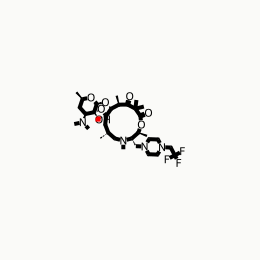 CO[C@]1(C)C[C@@H](C)CN(C)[C@@H](CN2CCN(CC(F)(F)F)CC2)[C@H](C)OC(=O)C(C)(C)C(=O)[C@H](C)[C@H]1O[C@@H]1O[C@H](C)C[C@H](N(C)C)[C@H]1O